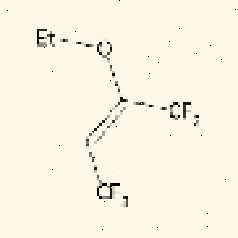 CCOC(=CC(F)(F)F)C(F)(F)F